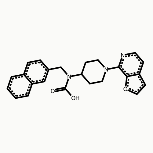 O=C(O)N(Cc1ccc2ccccc2c1)C1CCN(c2nccc3ccoc23)CC1